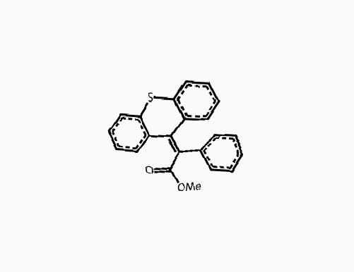 COC(=O)C(=C1c2ccccc2Sc2ccccc21)c1ccccc1